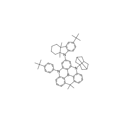 CC(C)(C)c1ccc(N2c3cc(N4c5ccc(C(C)(C)C)cc5C5(C)CCCCC45C)cc4c3B3c5c2cccc5C(C)(C)c2cccc(c23)N4C23CC4CC2CC4C3)cc1